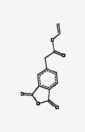 C=COC(=O)Cc1ccc2c(c1)C(=O)OC2=O